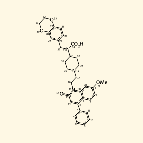 COc1ccc2c(-c3ccccc3)cc(=O)n(CCN3CCC(N(Cc4ccc5c(c4)OCCO5)C(=O)O)CC3)c2c1